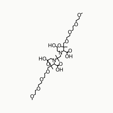 COCCOCCOCCOCC(C)(C)C(C(=O)O)N(CC(=O)O)CC(C)(C)N(CC(=O)O)C(C(=O)O)C(C)(C)COCCOCCOCCOC